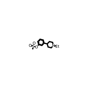 CCN1CCC(c2cccc(OS(C)(=O)=O)c2)CC1